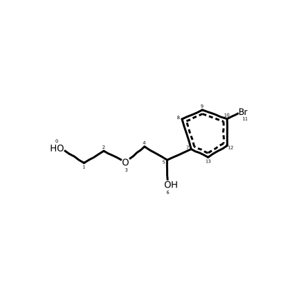 OCCOCC(O)c1ccc(Br)cc1